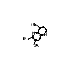 CC(C)(C)c1cc2nccc(C(C)(C)C)c2nc1C(C)(C)C